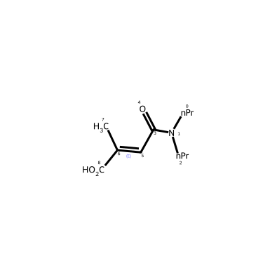 CCCN(CCC)C(=O)/C=C(\C)C(=O)O